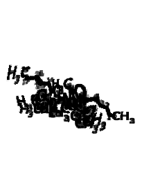 CCCCCC(OC(C)NC(C)OC(CCCCC)[Si](OC)(OC)OC)[Si](OC)(OC)OC